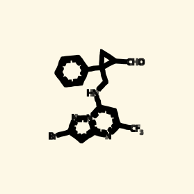 O=CC1CC1(CNc1cc(C(F)(F)F)nc2cc(Br)nn12)c1ccccc1